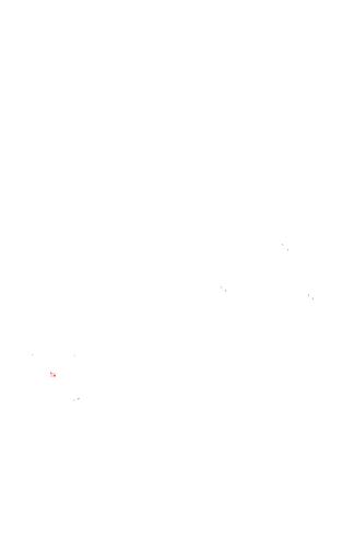 NC1N=C(c2ccccc2F)c2ccccc2N(CCOC(=O)N2CC3CCC(CC3)C2)C1=O